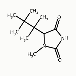 CN1C(=O)NC(=O)C1C(C)(C)C(C)(C)C